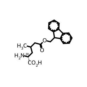 CC(CC(=O)OCC1c2ccccc2-c2ccccc21)C[C@@H](N)C(=O)O